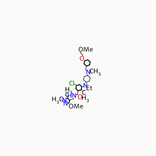 CCN(c1cc(Cl)cc(C(=O)NCc2c(OC)nn(C)c2C)c1C)C1CCC(N(C)Cc2cccc(OCCOC)c2)CC1